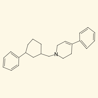 C1=C(c2ccccc2)CCN(CC2CCCC(c3ccccc3)C2)C1